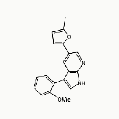 COc1ccccc1-c1c[nH]c2ncc(-c3ccc(C)o3)cc12